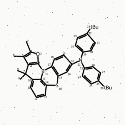 Cc1oc2c(c1C)C(C)(C)c1cccc3c1B2c1ccc(N(c2ccc(C(C)(C)C)cc2)c2ccc(C(C)(C)C)cc2)cc1S3